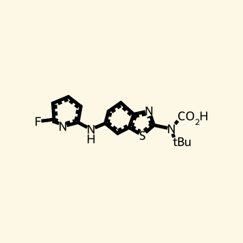 CC(C)(C)N(C(=O)O)c1nc2ccc(Nc3cccc(F)n3)cc2s1